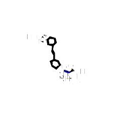 CS(=O)(=O)c1cccc(C#Cc2cccc(O/C(NN)=C(/N)C(=O)O)c2)c1